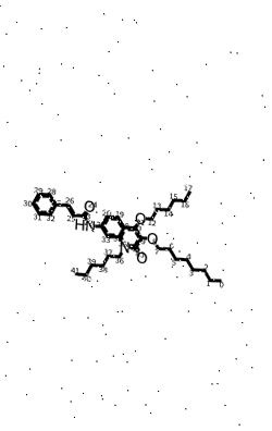 CCCCCCCCOc1c(OCCCCCC)c2ccc(NC(=O)C=Cc3ccccc3)cc2n(CCCCCC)c1=O